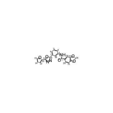 O=C(Nc1cccc(-c2nnc(-c3ccco3)o2)c1)c1ccc2c(c1)OCO2